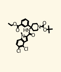 CCOC(=O)c1cccc(C2(NC(=O)c3cc4c(Cl)c(Cl)ccc4n3C)CCN(C(=O)OC(C)(C)C)CC2)c1